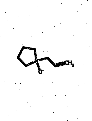 C=CC[N+]1([O-])CCCC1